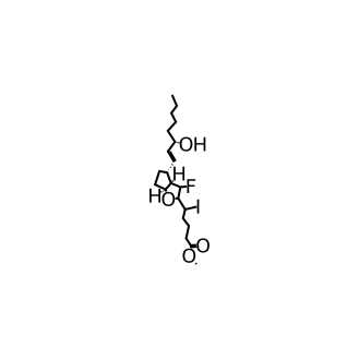 CCCCC[C@H](O)/C=C/[C@H]1CC[C@@H]2OC(C(I)CCCC(=O)OC)C(F)[C@@H]21